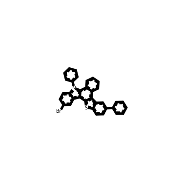 Brc1ccc2c(c1)c1c3sc4ccc(-c5ccccc5)cc4c3c3ccccc3c1n2-c1ccccc1